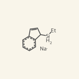 CC[SiH2]C1C=Cc2ccccc21.[Na]